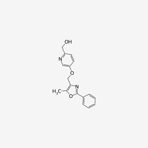 Cc1oc(-c2ccccc2)nc1COc1ccc(CO)nc1